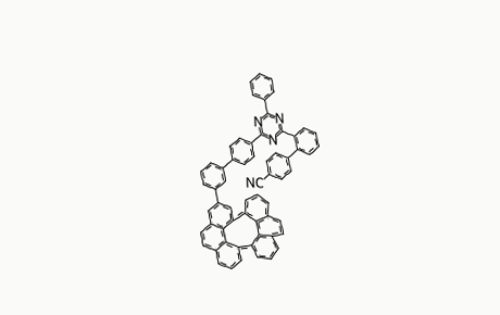 N#Cc1ccc(-c2ccccc2-c2nc(-c3ccccc3)nc(-c3ccc(-c4cccc(-c5cc6ccc7cccc8c9cccc%10ccc%11cccc(c(c5)c6c78)c%11c%109)c4)cc3)n2)cc1